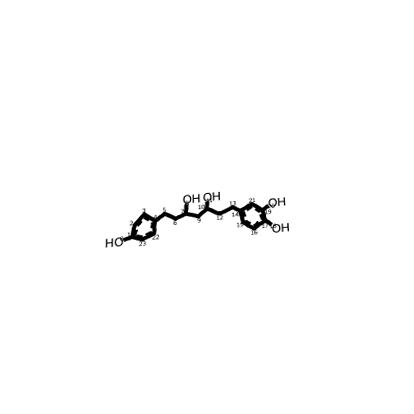 Oc1ccc(CCC(O)CC(O)CCc2ccc(O)c(O)c2)cc1